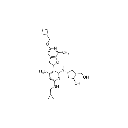 Cc1nc(OCC2CCC2)cc2c1OC(c1c(C)nc(NCC3CC3)nc1N[C@@H]1C[C@H](CO)[C@@H](O)C1)C2